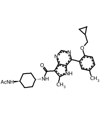 CC(=O)N[C@H]1CC[C@H](NC(=O)c2c(C)[nH]c3c(-c4cc(C)ccc4OCC4CC4)ncnc23)CC1